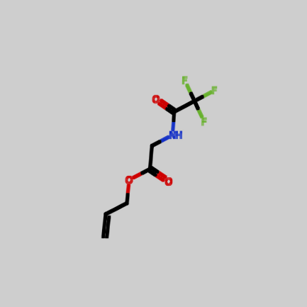 C=CCOC(=O)CNC(=O)C(F)(F)F